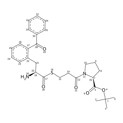 CC(C)(C)OC(=O)[C@@H]1CCCN1C(=O)CCSC(=O)[C@@H](N)Cc1ccccc1C(=O)c1ccccc1